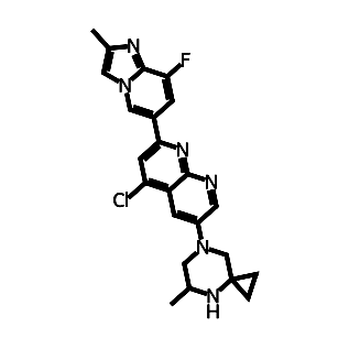 Cc1cn2cc(-c3cc(Cl)c4cc(N5CC(C)NC6(CC6)C5)cnc4n3)cc(F)c2n1